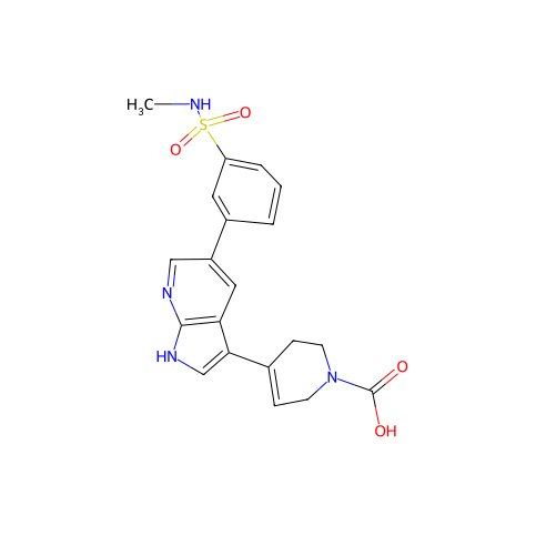 CNS(=O)(=O)c1cccc(-c2cnc3[nH]cc(C4=CCN(C(=O)O)CC4)c3c2)c1